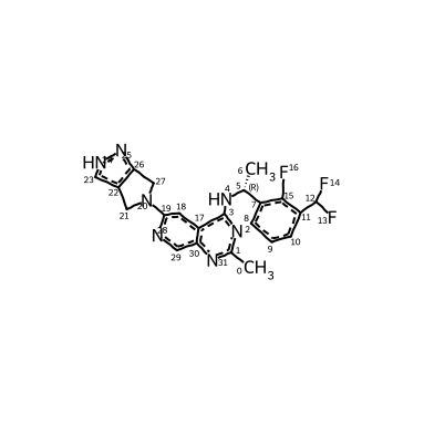 Cc1nc(N[C@H](C)c2cccc(C(F)F)c2F)c2cc(N3Cc4c[nH]nc4C3)ncc2n1